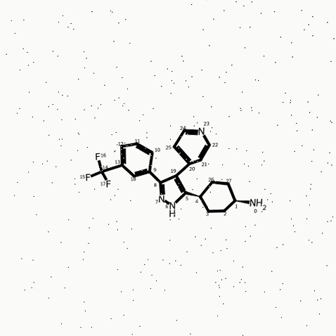 N[C@H]1CC[C@@H](c2[nH]nc(-c3cccc(C(F)(F)F)c3)c2-c2ccncc2)CC1